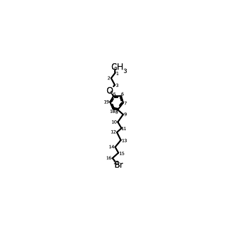 CCCCOc1ccc(CCCCCCCCBr)cc1